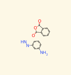 N=Nc1cccc(N)c1.O=C1OC(=O)c2ccccc21